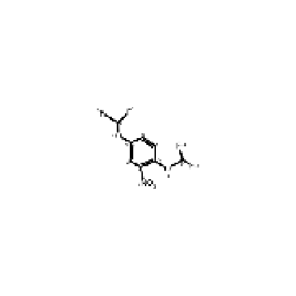 O=[N+]([O-])c1cc(OC(F)F)ccc1OC(F)F